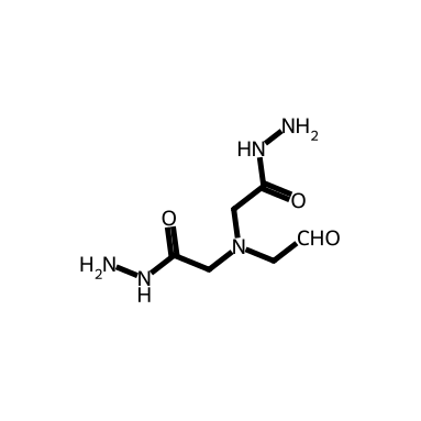 NNC(=O)CN(CC=O)CC(=O)NN